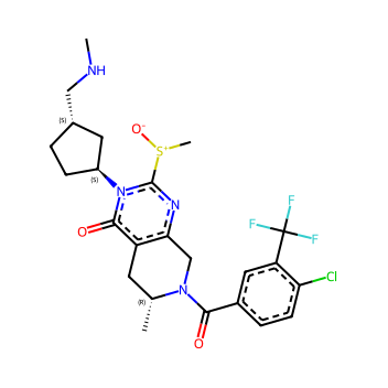 CNC[C@H]1CC[C@H](n2c([S+](C)[O-])nc3c(c2=O)C[C@@H](C)N(C(=O)c2ccc(Cl)c(C(F)(F)F)c2)C3)C1